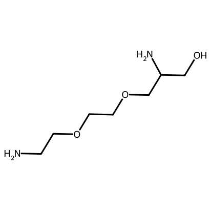 NCCOCCOCC(N)CO